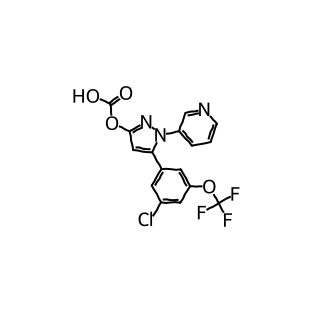 O=C(O)Oc1cc(-c2cc(Cl)cc(OC(F)(F)F)c2)n(-c2cccnc2)n1